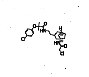 CC(C)(Oc1ccc(Cl)cc1)C(=O)NCCC1C[C@@H]2CC[C@@](NC(=O)CCl)(C1)C2